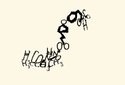 CC(NC(=O)OC(C)(C)C)C(=O)NCOC(=O)CCc1ccc(Oc2ccc(C=C3SC(=O)NC3=O)cc2)cc1